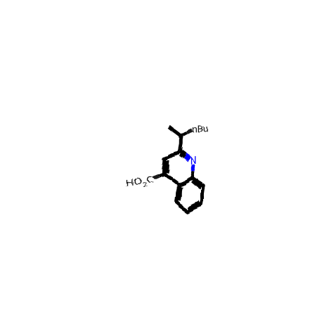 CCCCC(C)c1cc(C(=O)O)c2ccccc2n1